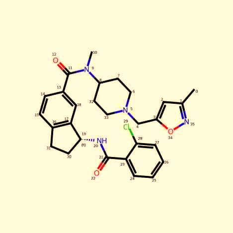 Cc1cc(CN2CCC(N(C)C(=O)c3ccc4c(c3)[C@H](NC(=O)c3ccccc3Cl)CC4)CC2)on1